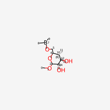 COC1OC(COB(C)C)[C@H](C)[C@@H](O)[C@@H]1O